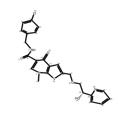 Cn1cc(C(=O)NCc2ccc(Cl)cc2)c(=O)c2cc(COC[C@@H](O)c3ccccn3)sc21